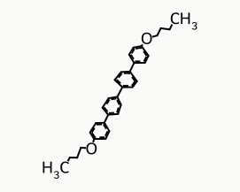 CCCCOc1ccc(-c2ccc(-c3ccc(-c4ccc(OCCCC)cc4)cc3)cc2)cc1